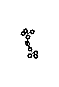 c1ccc(N(c2ccc(C34CC5CC(C3)C(c3ccc(N(c6ccccc6)c6cccc7ccccc67)cc3)(C5)C4)cc2)c2cccc3ccccc23)cc1